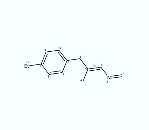 C=N/C=C(\C)Cc1ccc(CC)cc1